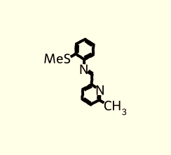 CSc1ccccc1/N=C/c1cccc(C)n1